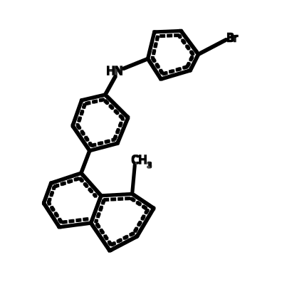 Cc1cccc2cccc(-c3ccc(Nc4ccc(Br)cc4)cc3)c12